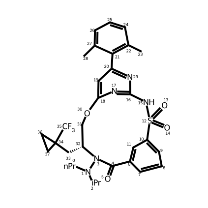 CCCN(C(C)C)N1C(=O)c2cccc(c2)S(=O)(=O)Nc2nc(cc(-c3c(C)cccc3C)n2)OC[C@H]1CC1(C(F)(F)F)CC1